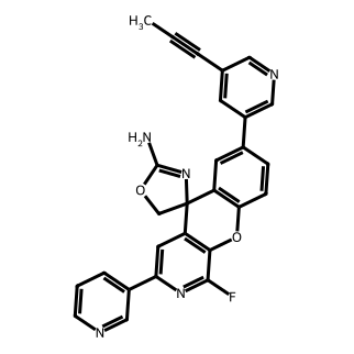 CC#Cc1cncc(-c2ccc3c(c2)C2(COC(N)=N2)c2cc(-c4cccnc4)nc(F)c2O3)c1